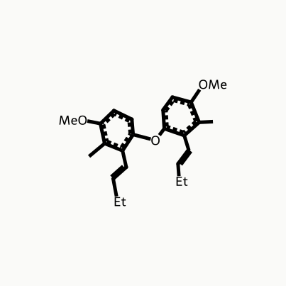 CCC=Cc1c(Oc2ccc(OC)c(C)c2C=CCC)ccc(OC)c1C